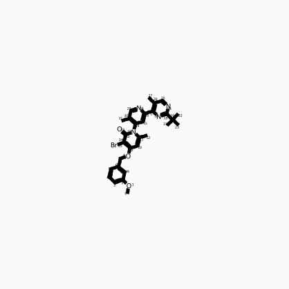 COc1cccc(COc2cc(C)n(-c3cc(-c4nc(C(C)(C)C)ncc4C)ncc3C)c(=O)c2Br)c1